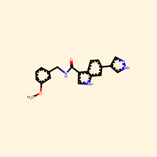 COc1cccc(CNC(=O)c2c[nH]c3cc(-c4cn[nH]c4)ccc23)c1